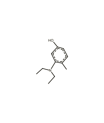 CCN(CC)c1cc(O)ccc1C